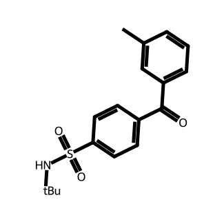 Cc1cccc(C(=O)c2ccc(S(=O)(=O)NC(C)(C)C)cc2)c1